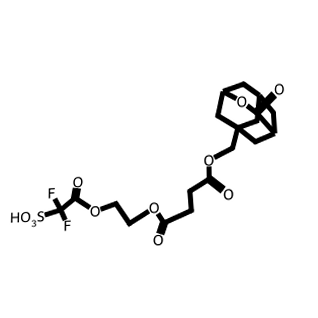 O=C(CCC(=O)OCC12CC3CC(C1)OC(=O)C(C3)C2)OCCOC(=O)C(F)(F)S(=O)(=O)O